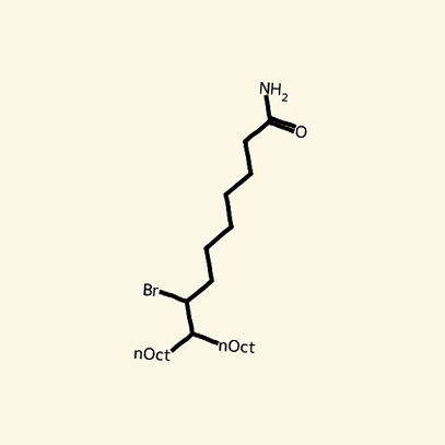 CCCCCCCCC(CCCCCCCC)C(Br)CCCCCCC(N)=O